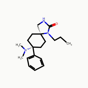 CCCN1C(=O)NC[C@]12CC[C@@](c1ccccc1)(N(C)C)CC2